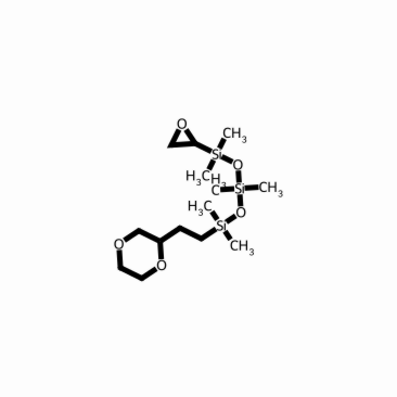 C[Si](C)(CCC1COCCO1)O[Si](C)(C)O[Si](C)(C)C1CO1